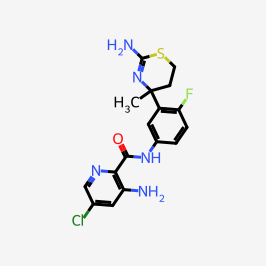 CC1(c2cc(NC(=O)c3ncc(Cl)cc3N)ccc2F)CCSC(N)=N1